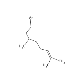 CC(=O)CCC(C)CCC=C(C)C